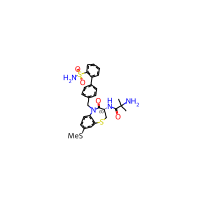 CSc1ccc2c(c1)SC[C@@H](NC(=O)C(C)(C)N)C(=O)N2Cc1ccc(-c2ccccc2S(N)(=O)=O)cc1